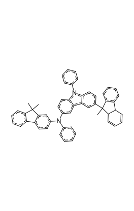 CC1(C)c2ccccc2-c2ccc(N(c3ccccc3)c3ccc4c(c3)c3cc(C5(C)c6ccccc6C6C=CC=CC65)ccc3n4-c3ccccc3)cc21